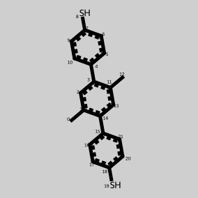 Cc1cc(-c2ccc(S)cc2)c(C)cc1-c1ccc(S)cc1